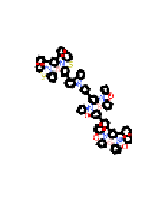 c1ccc(-c2cc(-c3ccc(-c4cc5c6c(c4)B4c7cccc8c7N(c7ccccc7O8)c7cc(-c8ccc(-n9c%10ccccc%10c%10c(-c%11cc%12c%13c(c%11)B%11c%14cccc%15c%14N(c%14ccccc%14S%15)c%14c(-c%15ccccc%15)cc(-c%15ccccc%15)c(c%14%11)N%13c%11ccccc%11S%12)cccc%109)cc8)cc(c74)N6c4ccccc4O5)cc3)c3c4c2N2c5ccccc5Oc5cccc(c52)B4c2cccc4c2N3c2ccccc2O4)cc1